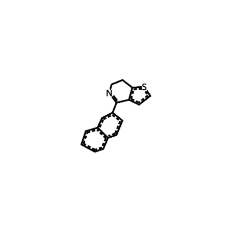 c1ccc2cc(C3=NCCc4sccc43)ccc2c1